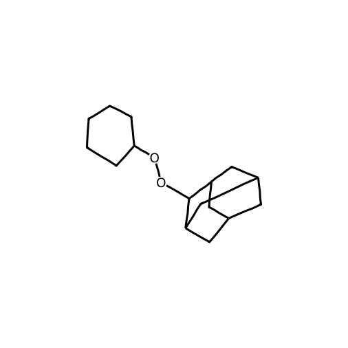 C1CCC(OOC2C3CC4CC(C3)CC2C4)CC1